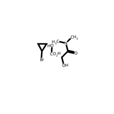 BrC1CC1.CN(C)C(=O)CO.O=C(O)O